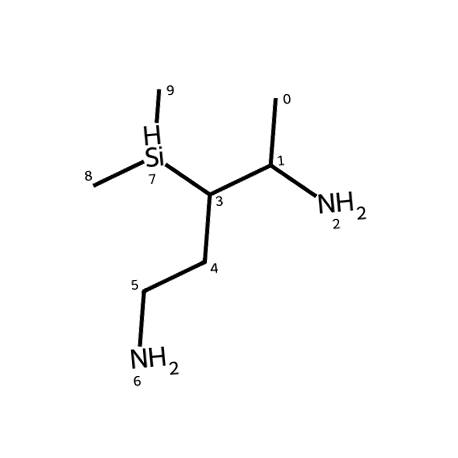 CC(N)C(CCN)[SiH](C)C